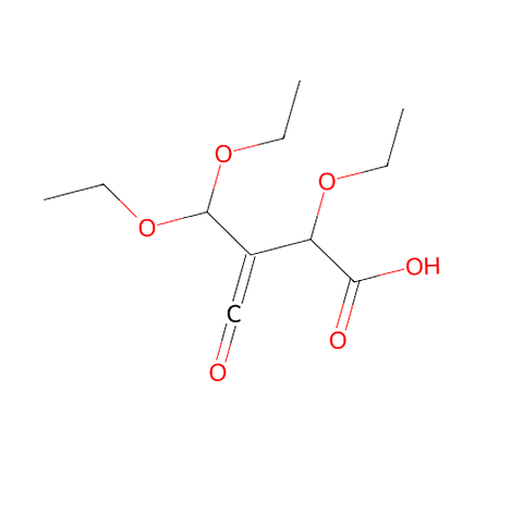 CCOC(OCC)C(=C=O)C(OCC)C(=O)O